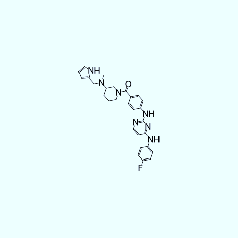 CN(Cc1ccc[nH]1)C1CCCN(C(=O)c2ccc(Nc3nccc(Nc4ccc(F)cc4)n3)cc2)C1